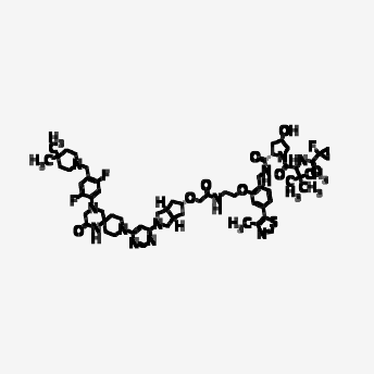 Cc1ncsc1-c1ccc(CNC(=O)[C@@H]2C[C@@H](O)CN2C(=O)[C@@H](NC(=O)C2(F)CC2)C(C)(C)C)c(OCCNC(=O)CO[C@@H]2C[C@@H]3CN(c4cc(N5CCC6(CC5)CN(c5cc(F)c(CN7CCC(C)(C)CC7)cc5F)CC(=O)N6)ncn4)C[C@@H]3C2)c1